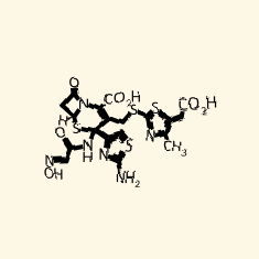 Cc1nc(SCC2=C(C(=O)O)N3C(=O)C[C@@H]3SC2(NC(=O)C=NO)c2csc(N)n2)sc1CC(=O)O